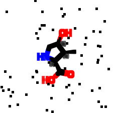 C[C@@H]1[C@H](O)CN[C@@H]1C(=O)O